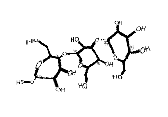 OCC1O[C@H](OC2C(O)[C@H](O[C@@H]3C(CO)O[C@@H](OS)C(O)C3O)OC(CO)[C@@H]2O)C(O)C(O)[C@H]1O